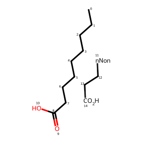 CCCCCCCCC(=O)O.CCCCCCCCCCCC(=O)O